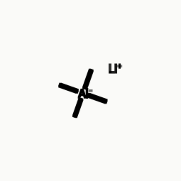 [CH3][Al-]([CH3])([CH3])[CH3].[Li+]